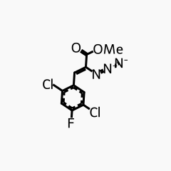 COC(=O)C(=Cc1cc(Cl)c(F)cc1Cl)N=[N+]=[N-]